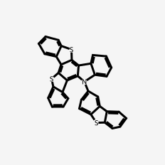 c1ccc2c(c1)sc1ccc(-n3c4ccccc4c4c5sc6ccccc6c5c5sc6ccccc6c5c43)cc12